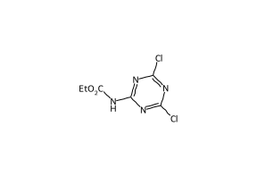 CCOC(=O)Nc1nc(Cl)nc(Cl)n1